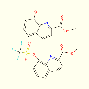 COC(=O)c1ccc2cccc(O)c2n1.COC(=O)c1ccc2cccc(OS(=O)(=O)C(F)(F)F)c2n1